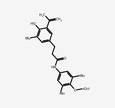 C=C(C)c1cc(CCC(=O)Nc2cc(C(C)(C)C)c(OCCCCCCCC)c(C(C)(C)C)c2)cc(C(C)(C)C)c1O